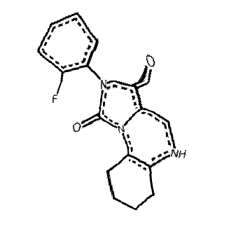 O=c1c2c[nH]c3c(n-2c(=O)n1-c1ccccc1F)CCCC3